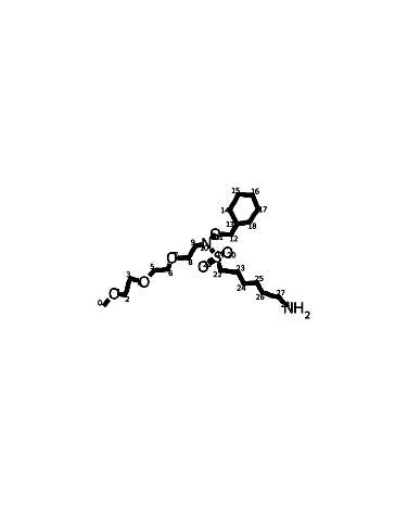 COCCOCCOCCN(OCC1CCCCC1)S(=O)(=O)CCCCCCN